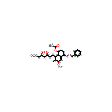 CCC(C)C(=O)OC1CCC(=NOCc2ccccc2)C2=CC(=O)C(C)C(CCC(=O)CC(O)CC(=O)[O-])C21.[Na+]